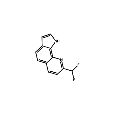 FC(F)c1ccc2ccc3cc[nH]c3c2n1